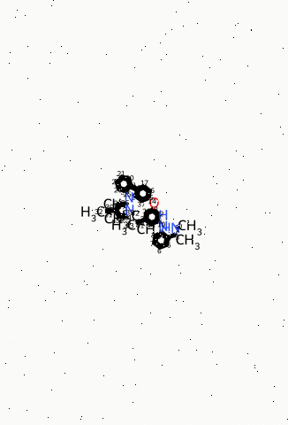 CNC(C)c1ccccc1Nc1cc(Oc2ccc3c4ccccc4n(-c4cc(C(C)(C)C)ccn4)c3c2)cc(C(C)(C)C)c1